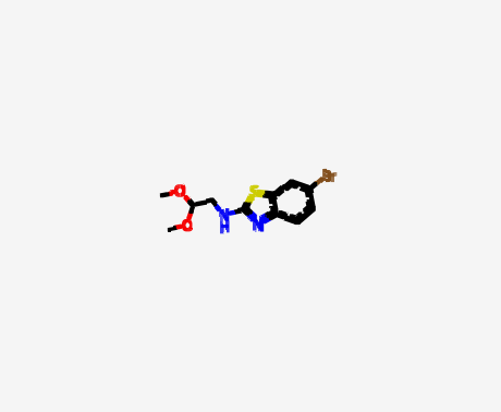 COC(CNc1nc2ccc(Br)cc2s1)OC